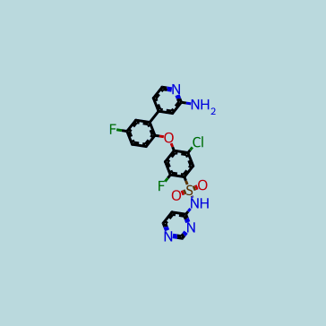 Nc1cc(-c2cc(F)ccc2Oc2cc(F)c(S(=O)(=O)Nc3ccncn3)cc2Cl)ccn1